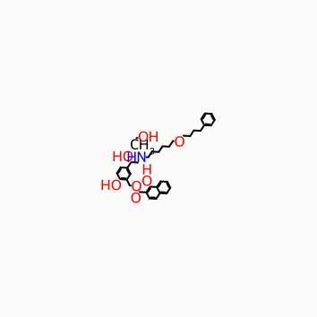 CCO.O=C(OCc1cc(C(O)CNCCCCCCOCCCCc2ccccc2)ccc1O)c1ccc2ccccc2c1O